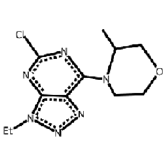 CCn1nnc2c(N3CCOCC3C)nc(Cl)nc21